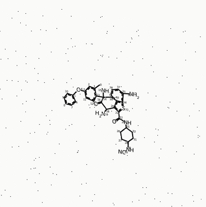 Cc1cc(Oc2ccccc2)ccc1C1(N)C(=O)C(N)c2c(C(=O)NC3CCC(NC#N)CC3)sc3c(N)ccc1c23